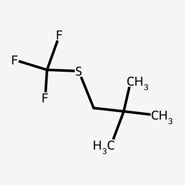 CC(C)(C)CSC(F)(F)F